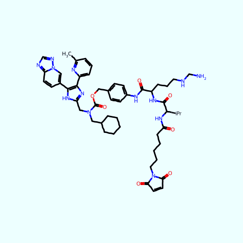 Cc1cccc(-c2nc(CN(CC3CCCCC3)C(=O)OCc3ccc(NC(=O)C(CCCNCN)NC(=O)C(NC(=O)CCCCCN4C(=O)C=CC4=O)C(C)C)cc3)[nH]c2-c2ccc3ncnn3c2)n1